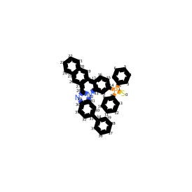 S=P(c1ccccc1)(c1ccccc1)c1ccc2c3cc4ccccc4cc3c3nc4ccc(-c5ccccc5)cc4n3c2c1